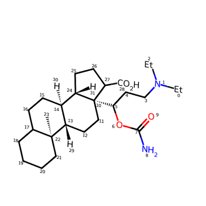 CCN(CC)CCC(OC(N)=O)[C@]12CC[C@H]3[C@@H](CCC4CCCC[C@@]43C)[C@@H]1CCC2C(=O)O